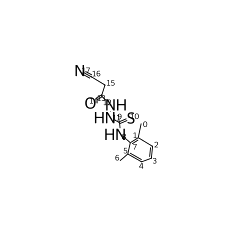 Cc1cccc(C)c1NC(=S)NNC(=O)CC#N